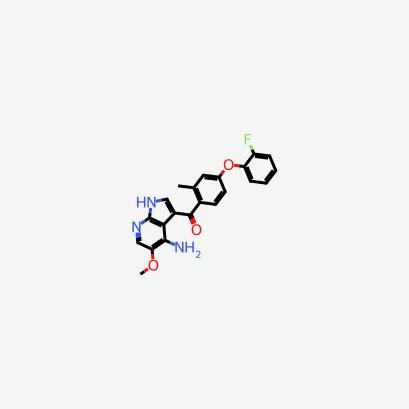 COc1cnc2[nH]cc(C(=O)c3ccc(Oc4ccccc4F)cc3C)c2c1N